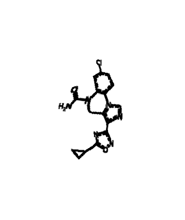 NC(=O)N1Cc2c(-c3noc(C4CC4)n3)ncn2-c2ccc(Cl)cc21